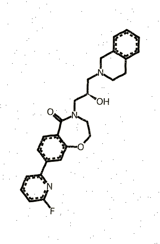 O=C1c2ccc(-c3cccc(F)n3)cc2OCCN1C[C@H](O)CN1CCc2ccccc2C1